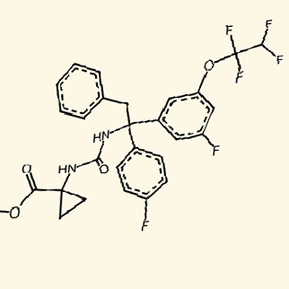 COC(=O)C1(NC(=O)NC(Cc2ccccc2)(c2ccc(F)cc2)c2cc(F)cc(OC(F)(F)C(F)F)c2)CC1